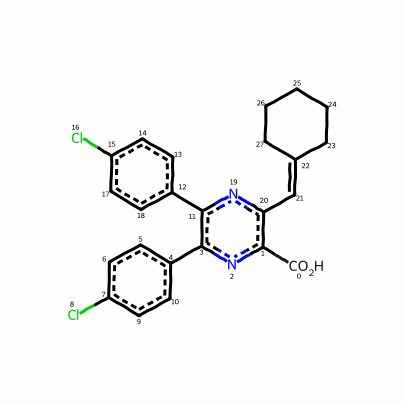 O=C(O)c1nc(-c2ccc(Cl)cc2)c(-c2ccc(Cl)cc2)nc1C=C1CCCCC1